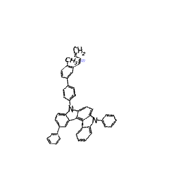 C=C/C=C\c1cc(-c2ccc(-n3c4ccc(-c5ccccc5)cc4c4c5c6ccccc6n(-c6ccccc6)c5ccc43)cc2)ccc1C